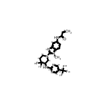 C=CC(=O)Nc1ccc2c(c1)nc(N1CCC(F)(F)C(Nc3ncc(C(F)(F)F)cn3)C1)n2C